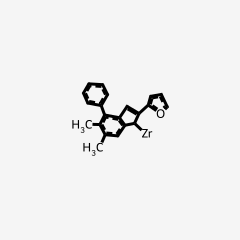 Cc1cc2c(c(-c3ccccc3)c1C)C=C(c1ccco1)[CH]2[Zr]